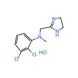 CN(CC1=NCCN1)c1cccc(Cl)c1Cl.Cl